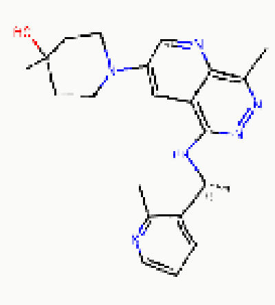 Cc1ncccc1[C@@H](C)Nc1nnc(C)c2ncc(N3CCC(C)(O)CC3)cc12